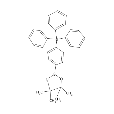 CC1(C)OB(c2ccc(S(c3ccccc3)(c3ccccc3)c3ccccc3)cc2)OC1(C)C